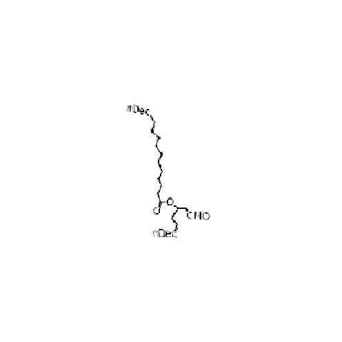 CCCCCCCCCCCCCCCCCCCCC(=O)OC(C[C]=O)CCCCCCCCCCCC